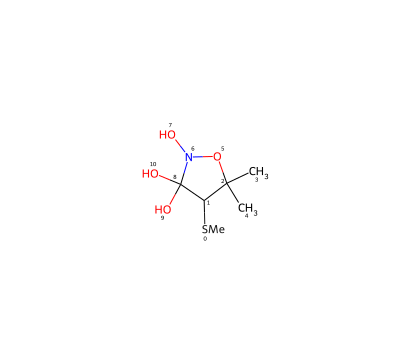 CSC1C(C)(C)ON(O)C1(O)O